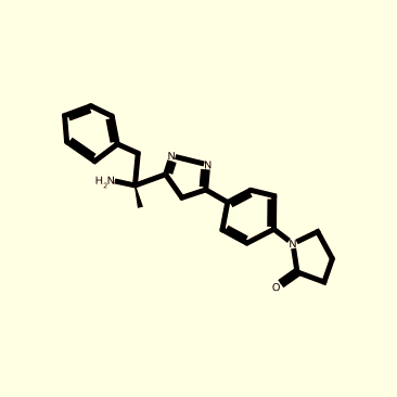 C[C@@](N)(Cc1ccccc1)C1=NN=C(c2ccc(N3CCCC3=O)cc2)C1